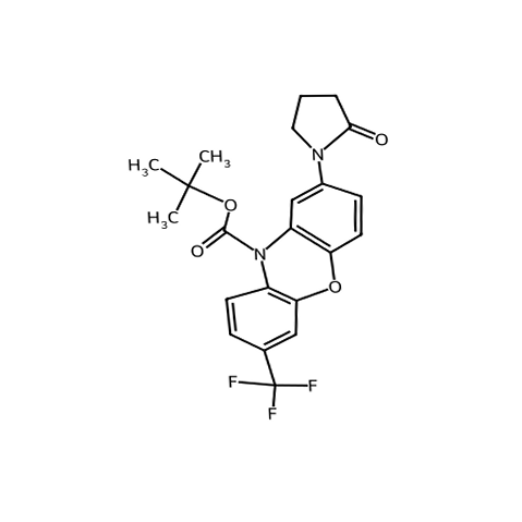 CC(C)(C)OC(=O)N1c2ccc(C(F)(F)F)cc2Oc2ccc(N3CCCC3=O)cc21